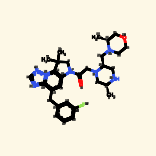 C[C@@H]1CN(CC(=O)N2CC(C)(C)c3c2cc(Cc2cccc(F)c2)c2ncnn32)[C@@H](CN2CCOC[C@H]2C)CN1